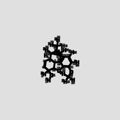 [2H]OC1([2H])C=C[C@@H]2[C@@]34CCN(C([2H])([2H])[2H])[C@]2([2H])C([2H])([2H])c2c([2H])c([2H])c(OC([2H])([2H])[2H])c(c23)OC14